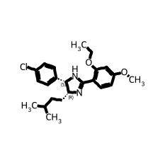 CCOc1cc(OC)ccc1C1=N[C@H](CCC(C)C)[C@H](c2ccc(Cl)cc2)N1